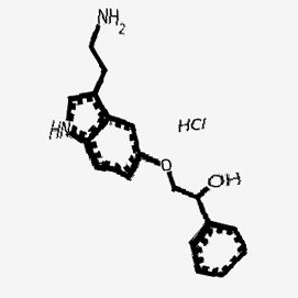 Cl.NCCc1c[nH]c2ccc(OCC(O)c3ccccc3)cc12